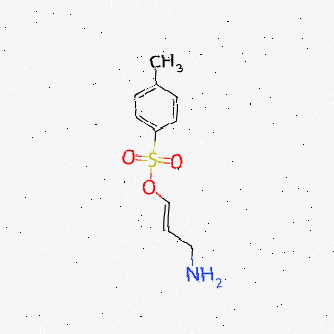 Cc1ccc(S(=O)(=O)OC=CCN)cc1